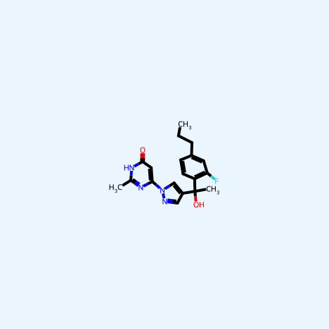 CCCc1ccc(C(C)(O)c2cnn(-c3cc(=O)[nH]c(C)n3)c2)c(F)c1